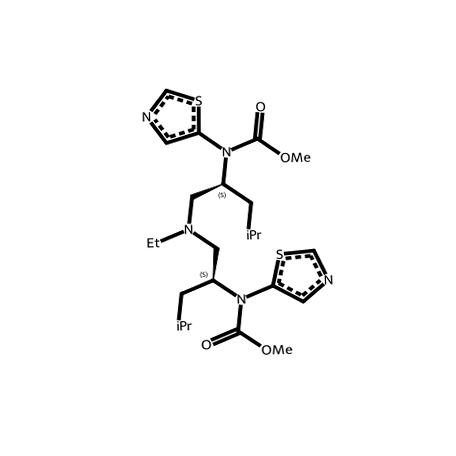 CCN(C[C@H](CC(C)C)N(C(=O)OC)c1cncs1)C[C@H](CC(C)C)N(C(=O)OC)c1cncs1